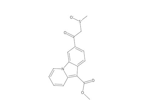 COC(=O)c1c2ccc(C(=O)C[S+](C)[O-])cc2n2ccccc12